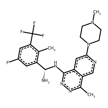 Cc1c([C@@H](N)Nc2nnc(C)c3cnc(N4CCN(C)CC4)cc23)cc(F)cc1C(F)(F)F